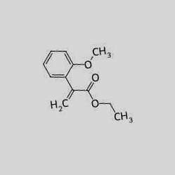 C=C(C(=O)OCC)c1ccccc1OC